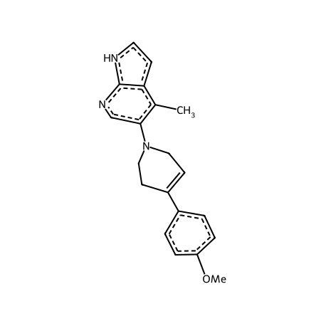 COc1ccc(C2=CCN(c3cnc4[nH]ccc4c3C)CC2)cc1